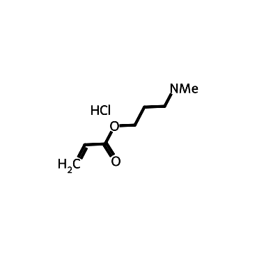 C=CC(=O)OCCCNC.Cl